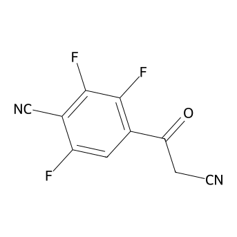 N#CCC(=O)c1cc(F)c(C#N)c(F)c1F